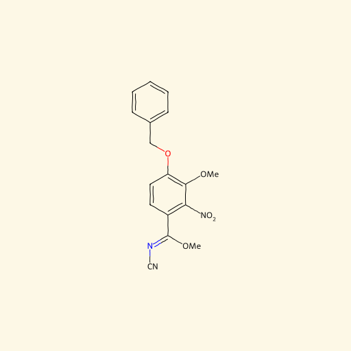 CO/C(=N\C#N)c1ccc(OCc2ccccc2)c(OC)c1[N+](=O)[O-]